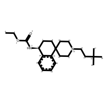 CCOC(=O)N[C@H]1CCC2(CCN(CCC(C)(C)C)CC2)c2ccccc21